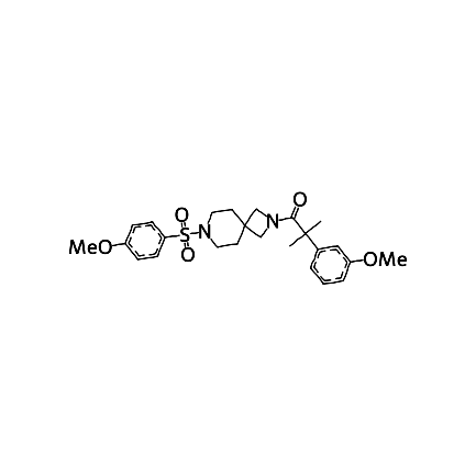 COc1ccc(S(=O)(=O)N2CCC3(CC2)CN(C(=O)C(C)(C)c2cccc(OC)c2)C3)cc1